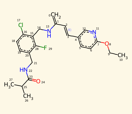 C=C(/C=C/c1ccc(OCC)nc1)NCc1c(Cl)ccc(CNC(=O)C(C)C)c1F